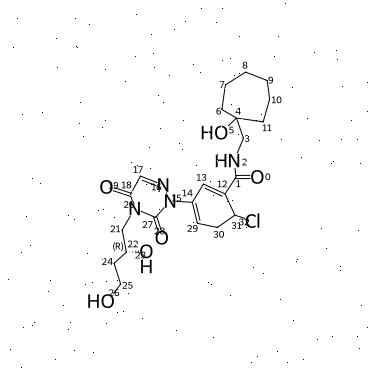 O=C(NCC1(O)CCCCCC1)C1=CC(n2ncc(=O)n(C[C@H](O)CCO)c2=O)=CCC1Cl